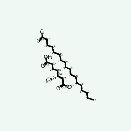 CCCCCCCCCCCCCCCCCC(=O)[O-].O=C([O-])CCCCCC(=O)O.[Ca+2]